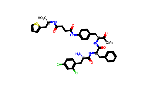 COC(=O)[C@H](Cc1ccc(NC(=O)CCC(=O)N[C@H](Cc2cccs2)C(=O)O)cc1)NC(=O)[C@@H](Cc1ccccc1)NC(=O)[C@@H](N)Cc1ccc(Cl)cc1Cl